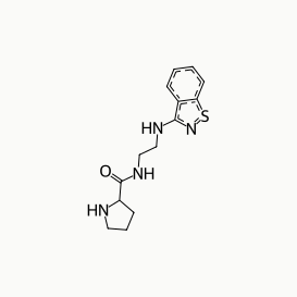 O=C(NCCNc1nsc2ccccc12)C1CCCN1